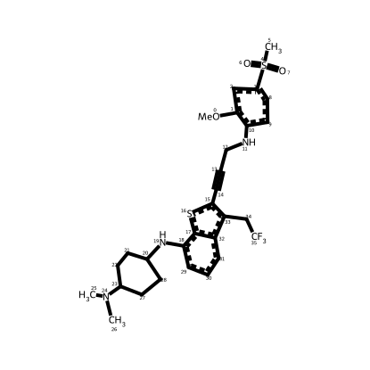 COc1cc(S(C)(=O)=O)ccc1NCC#Cc1sc2c(NC3CCC(N(C)C)CC3)cccc2c1CC(F)(F)F